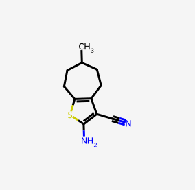 CC1CCc2sc(N)c(C#N)c2CC1